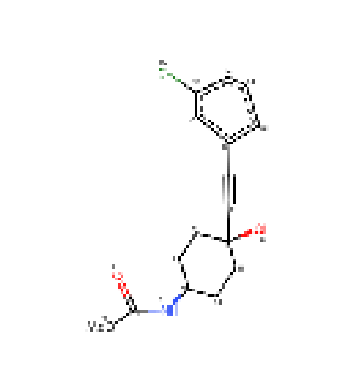 COC(=O)N[C@H]1CC[C@](O)(C#Cc2cccc(Cl)c2)CC1